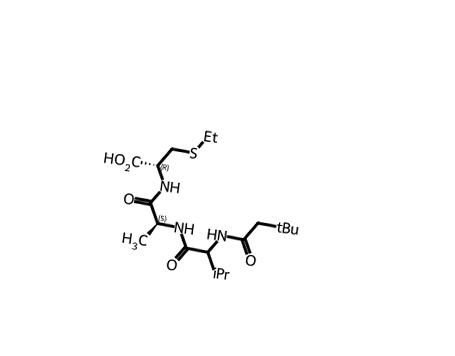 CCSC[C@H](NC(=O)[C@H](C)NC(=O)C(NC(=O)CC(C)(C)C)C(C)C)C(=O)O